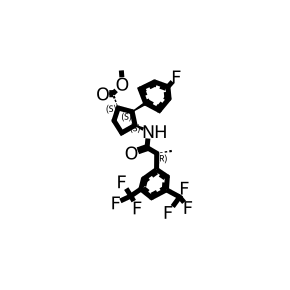 COC(=O)[C@H]1CC[C@H](NC(=O)[C@H](C)c2cc(C(F)(F)F)cc(C(F)(F)F)c2)[C@@H]1c1ccc(F)cc1